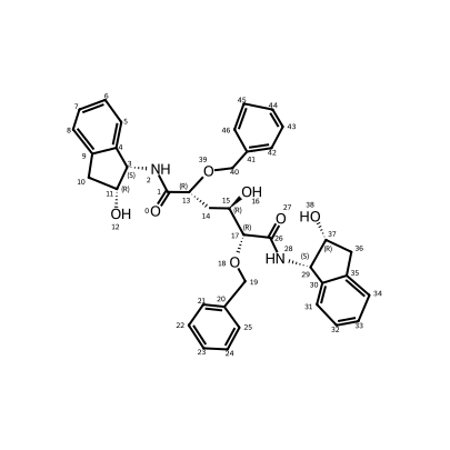 O=C(N[C@H]1c2ccccc2C[C@H]1O)[C@@H](C[C@@H](O)[C@@H](OCc1ccccc1)C(=O)N[C@H]1c2ccccc2C[C@H]1O)OCc1ccccc1